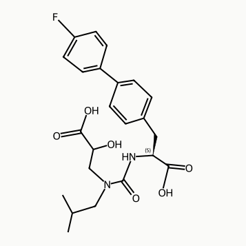 CC(C)CN(CC(O)C(=O)O)C(=O)N[C@@H](Cc1ccc(-c2ccc(F)cc2)cc1)C(=O)O